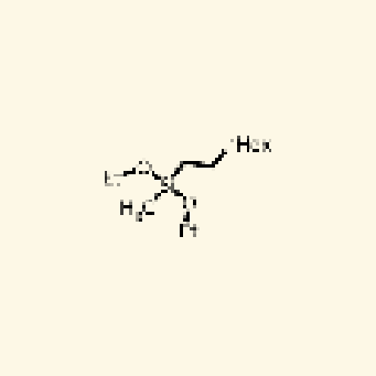 CCCCCCCC[Si](C)(OCC)OCC